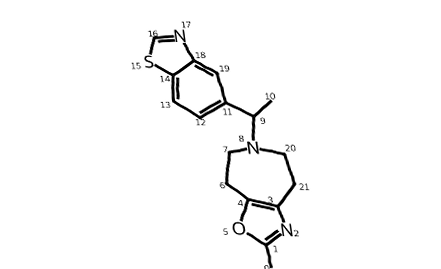 Cc1nc2c(o1)CCN(C(C)c1ccc3scnc3c1)CC2